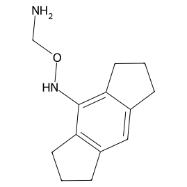 NCONc1c2c(cc3c1CCC3)CCC2